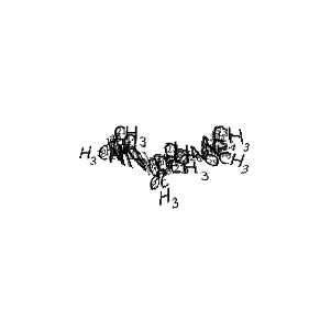 CCC(C)(CC(C)(C)C(=O)OCCNC(=O)n1nc(C)cc1C)C(=O)OCCNC(=O)n1nc(C)cc1C